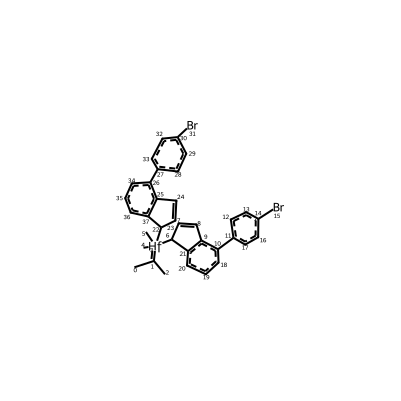 C[C](C)=[Hf]([CH3])([CH3])([CH]1C=Cc2c(-c3ccc(Br)cc3)cccc21)[CH]1C=Cc2c(-c3ccc(Br)cc3)cccc21